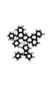 c1ccc(-c2c(-c3ccccc3)c3cc(N(c4ccc5c(c4)c4ccccc4n5-c4ccccc4)c4cccc5c4ccc4ccccc45)ccc3c3ccccc23)cc1